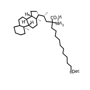 CCCCCCCCCCCCCCCCCCCCC(N)(C[C@@H](C)[C@H]1CC[C@H]2[C@@H]3CCC4CCCC[C@]4(C)[C@H]3CC[C@]12C)C(=O)O